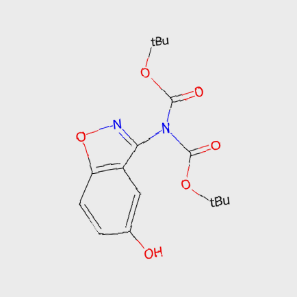 CC(C)(C)OC(=O)N(C(=O)OC(C)(C)C)c1noc2ccc(O)cc12